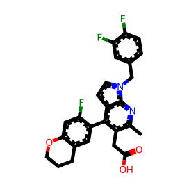 Cc1nc2c(ccn2Cc2ccc(F)c(F)c2)c(-c2cc3c(cc2F)OCCC3)c1CC(=O)O